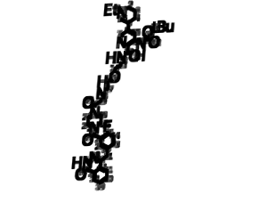 CCN1CCCC(c2cnc(C(=O)NCCOCCNCC(=O)N3CCN(C(=O)c4cc(Cc5n[nH]c(=O)c6ccccc56)ccc4F)CC3)c(NC(=O)OC(C)(C)C)c2)C1